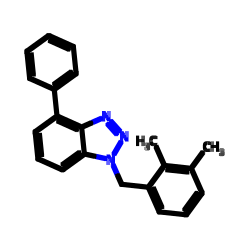 Cc1cccc(Cn2nnc3c(-c4ccccc4)cccc32)c1C